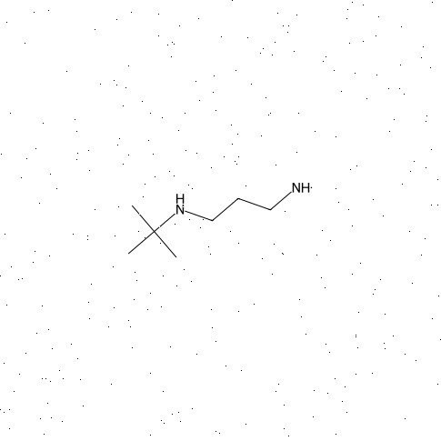 CC(C)(C)NCCC[NH]